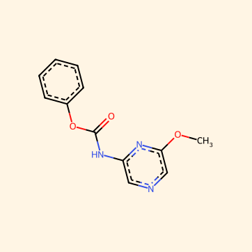 COc1cncc(NC(=O)Oc2ccccc2)n1